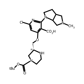 CN1CC2CCN(c3nc(Cl)cc(OC[C@H]4CN(C(=O)OC(C)(C)C)CCN4)c3C(=O)O)C2C1